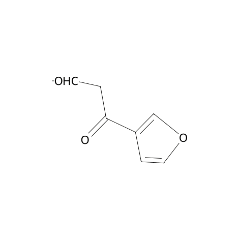 O=[C]CC(=O)c1ccoc1